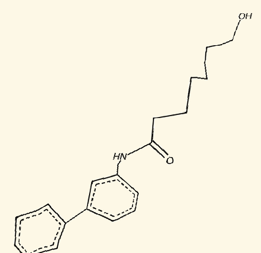 O=C(CCCCCCO)Nc1cccc(-c2ccccc2)c1